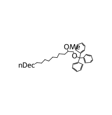 CCCCCCCCCCCCCCCCCCC(COC(c1ccccc1)(c1ccccc1)c1ccccc1)OC